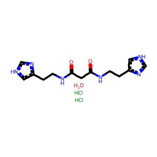 Cl.Cl.O.O=C(CC(=O)NCCc1c[nH]cn1)NCCc1c[nH]cn1